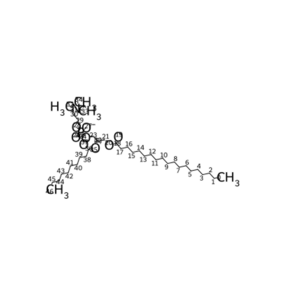 CCCCCCCCCCCCCCCCCCC(=O)OC[C@H](COP(=O)([O-])OCC[N+](C)(C)C)OC(=O)CCCCCCCCC